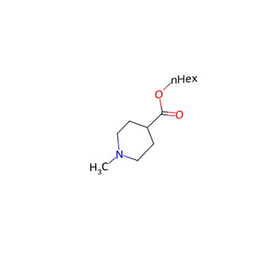 CCCCCCOC(=O)C1CCN(C)CC1